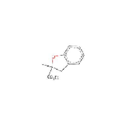 CCOC(=O)C1(C)Cc2ccccc2O1